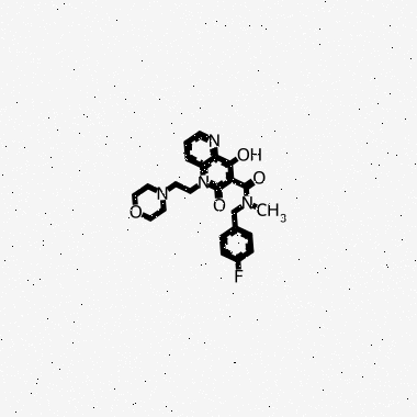 CN(Cc1ccc(F)cc1)C(=O)c1c(O)c2ncccc2n(CCN2CCOCC2)c1=O